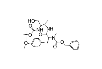 COc1ccc(C[C@@H](C(=O)NC(C)C(CO)NC(=O)OC(C)(C)C)N(C)C(=O)OCc2ccccc2)cc1